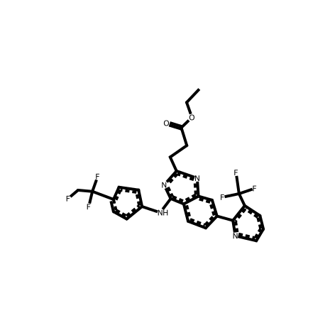 CCOC(=O)CCc1nc(Nc2ccc(C(F)(F)CF)cc2)c2ccc(-c3ncccc3C(F)(F)F)cc2n1